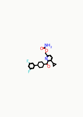 NC(=O)OCc1ccc(C2CC2)c(C(=O)C2CCC(c3cc(F)cc(F)c3)CC2)n1